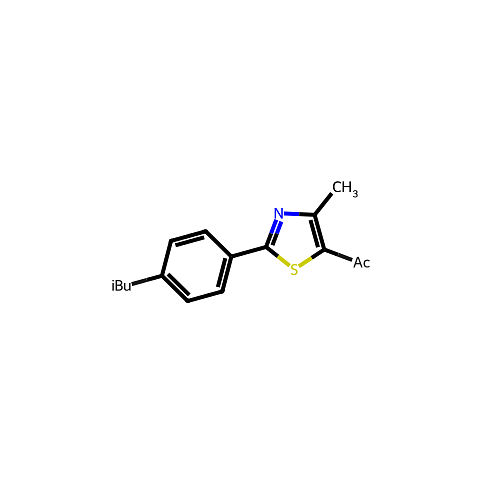 CCC(C)c1ccc(-c2nc(C)c(C(C)=O)s2)cc1